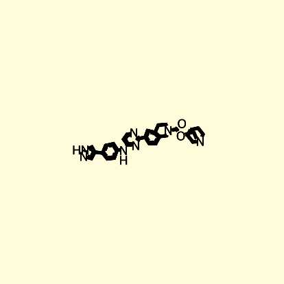 O=C(OC1CN2CCC1CC2)N1CCc2cc(-c3nccc(Nc4ccc(-c5cn[nH]c5)cc4)n3)ccc2C1